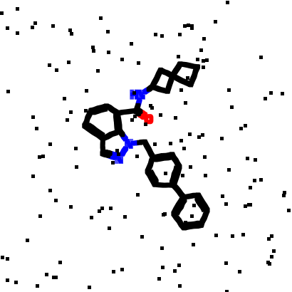 O=C(NC1CC2(CCC2)C1)c1cccc2cnn(Cc3ccc(-c4ccccc4)cc3)c12